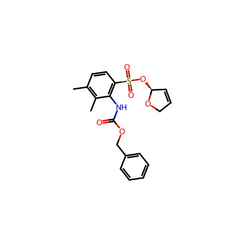 Cc1ccc(S(=O)(=O)O[C@H]2C=CCO2)c(NC(=O)OCc2ccccc2)c1C